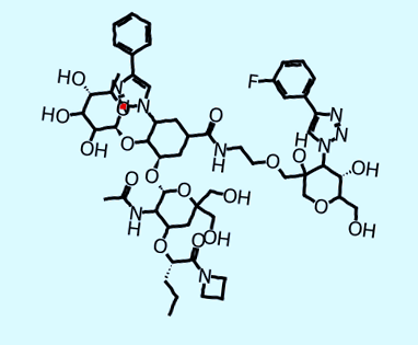 CCC[C@H](OC1CC(CO)(CO)O[C@@H](O[C@@H]2CC(C(=O)NCCOCC3(O)COC(CO)[C@@H](O)C3n3cc(-c4cccc(F)c4)nn3)CC(n3cc(-c4ccccc4)nn3)C2O[C@@H]2OC(C)[C@@H](O)C(O)C2O)C1NC(C)=O)C(=O)N1CCC1